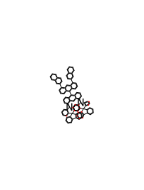 c1ccc2c(c1)-c1ccccc1C21c2ccccc2N(c2cccc3c(-c4c5cccc(-c6ccc7ccccc7c6)c5cc5c(-c6ccc7ccccc7c6)cccc45)c4cccc(N5c6ccccc6C6(c7ccccc7-c7ccccc76)c6ccccc65)c4cc23)c2ccccc21